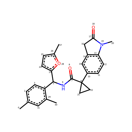 Cc1ccc(C(NC(=O)C2(c3ccc4c(c3)CC(=O)N4C)CC2)c2ccc(C)o2)c(C)c1